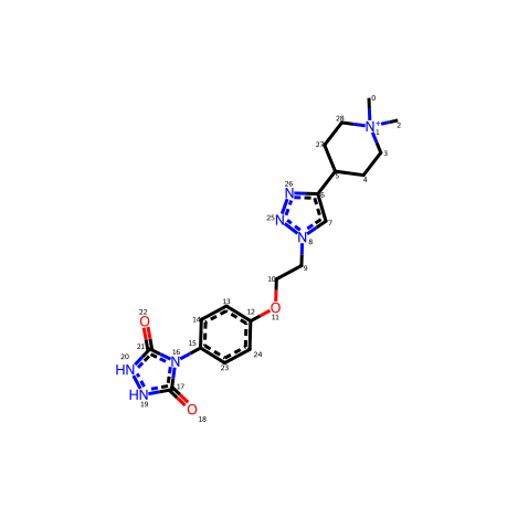 C[N+]1(C)CCC(c2cn(CCOc3ccc(-n4c(=O)[nH][nH]c4=O)cc3)nn2)CC1